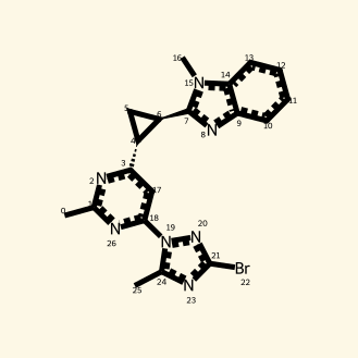 Cc1nc([C@@H]2C[C@H]2c2nc3ccccc3n2C)cc(-n2nc(Br)nc2C)n1